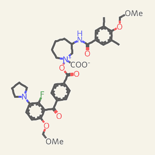 COCOc1ccc(N2CCCC2)c(F)c1C(=O)c1ccc(C(=O)O[N+]2(C(=O)[O-])CCCCC(NC(=O)c3cc(C)c(OCOC)c(C)c3)C2)cc1